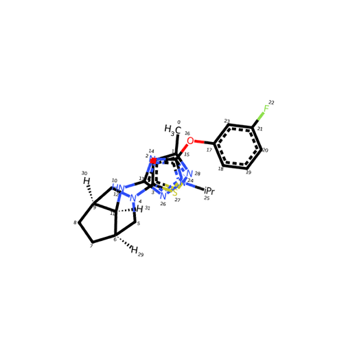 Cc1cc(N2C[C@H]3CC[C@@H](C2)[C@H]3Nc2nc(Oc3cccc(F)c3)n(C(C)C)n2)sn1